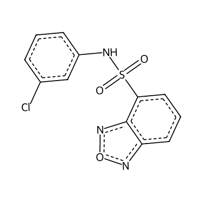 O=S(=O)(Nc1cccc(Cl)c1)c1cccc2nonc12